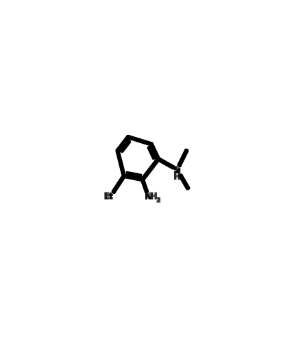 CCc1cccc([SiH](C)C)c1N